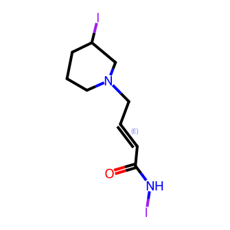 O=C(/C=C/CN1CCCC(I)C1)NI